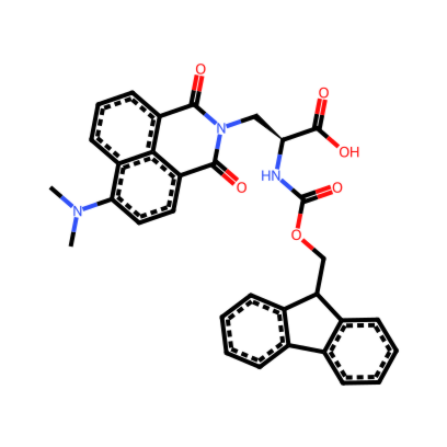 CN(C)c1ccc2c3c(cccc13)C(=O)N(C[C@H](NC(=O)OCC1c3ccccc3-c3ccccc31)C(=O)O)C2=O